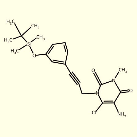 Cn1c(=O)c(N)c(Cl)n(CC#Cc2cccc(O[Si](C)(C)C(C)(C)C)c2)c1=O